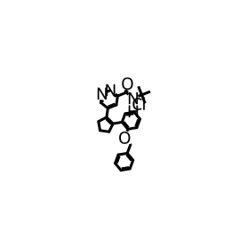 CC(C)(C)NC(=O)c1cc(C2=C(c3cc(Cl)ccc3OCc3ccccc3)CCC2)cnn1